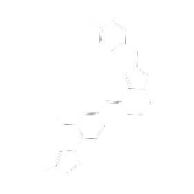 COc1cc(/C=C2\CCCn3nc([C@@H](C)c4ccc(F)cc4)nc32)ccc1-n1cnc(C)c1